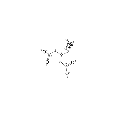 CC(CC(=O)[O-])CC(=O)[O-].[Ag+].[Ag+]